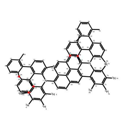 [2H]c1c([2H])c([2H])c(N(c2c(F)ccc(-c3c(C)cccc3C)c2-c2ccccc2C)c2ccc3cc4c5c(ccc6ccc2c3c65)N(c2c(F)ccc(-c3c(C)cccc3C)c2-c2c(C)cccc2C)c2c([2H])c([2H])c([2H])c([2H])c2-4)c([2H])c1[2H]